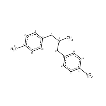 Cc1ccc(CN(C)Cc2ccc([N+](=O)[O-])cc2)cc1